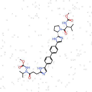 COC(=O)N[C@H](C(=O)N1CCC[C@H]1c1ncc(-c2ccc(-c3ccc(-c4cnc(CCC(=O)N(NC(=O)OC)C(C)C)[nH]4)cc3)cc2)[nH]1)C(C)C